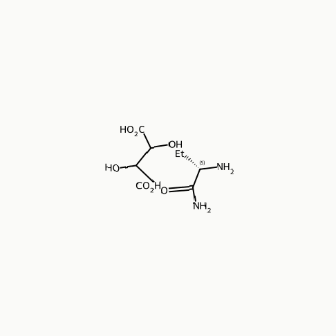 CC[C@H](N)C(N)=O.O=C(O)C(O)C(O)C(=O)O